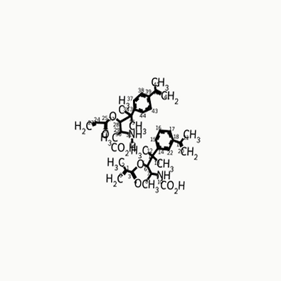 C=C(C)C(=O)OC(C(C)NC(=O)O)C(C)(C)c1cccc(C(=C)C)c1.C=CC(=O)OC(C(C)NC(=O)O)C(C)(C)c1ccc(C(=C)C)cc1